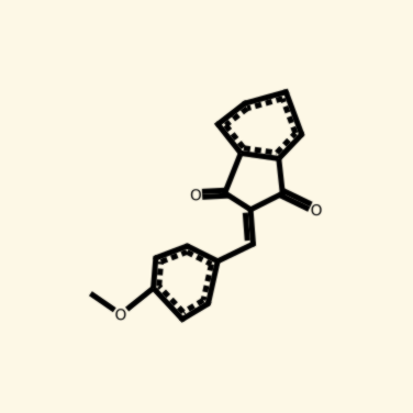 COc1ccc(C=C2C(=O)c3ccccc3C2=O)cc1